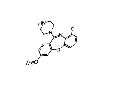 COc1ccc2c(c1)Oc1cccc(F)c1N=C2N1CCNCC1